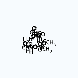 Cc1ccccc1NC(=O)Nc1ccc(CC(=O)N(C)[C@@H](CC(C)C)C(=O)CCC[C@H](NC(=O)[C@@H]2C[C@@H](N)CN2S(=O)(=O)c2ccccc2)C(=O)O)cc1